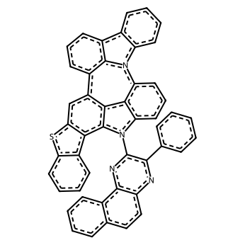 c1ccc(-c2nc3ccc4ccccc4c3nc2-n2c3cccc4c3c3c(cc5sc6ccccc6c5c32)c2cccc3c5ccccc5n4c23)cc1